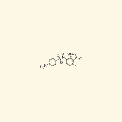 Cc1ccc(NS(=O)(=O)c2ccc(N)cc2)c2[nH]cc(Cl)c12